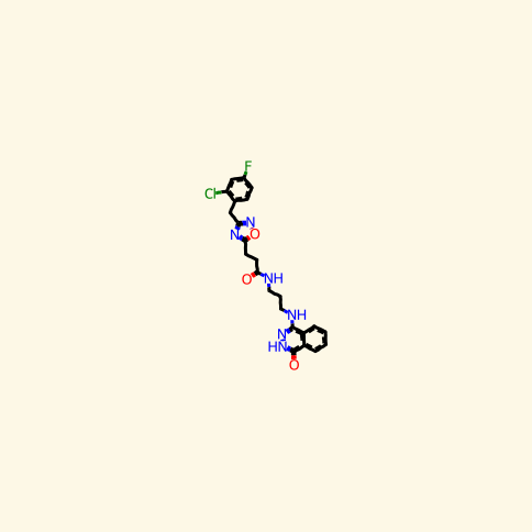 O=C(CCc1nc(Cc2ccc(F)cc2Cl)no1)NCCCNc1n[nH]c(=O)c2ccccc12